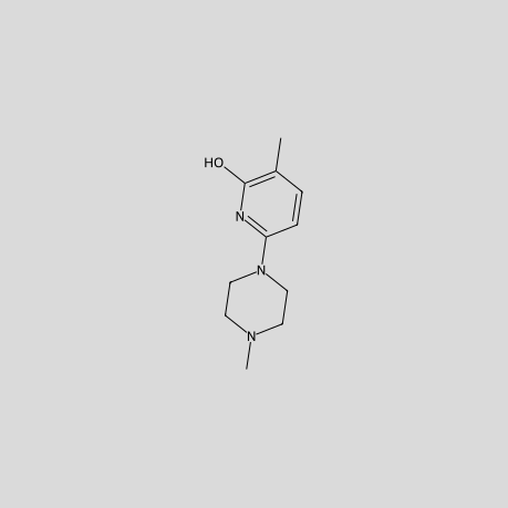 Cc1ccc(N2CCN(C)CC2)nc1O